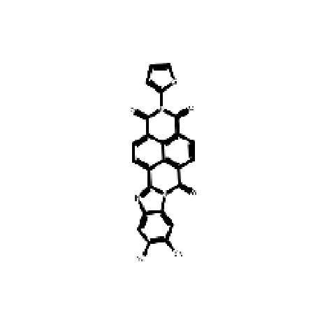 N#Cc1cc2nc3c4ccc5c6c(ccc(c(=O)n3c2cc1C#N)c64)C(=O)N(c1cccs1)C5=O